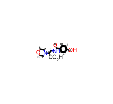 O=C(NC[C@@H](C(=O)O)N1CCOCC1)c1ccc(O)cc1